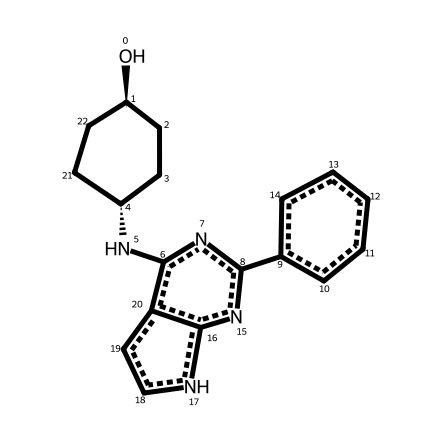 O[C@H]1CC[C@H](Nc2nc(-c3ccccc3)nc3[nH]ccc23)CC1